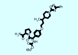 CC(C)c1noc(N2CCC(C(C)CCOc3ccc([C@H](NC(=O)OC(C)(C)C)C(=O)N4CCCC4C(N)=O)cc3)CC2)n1